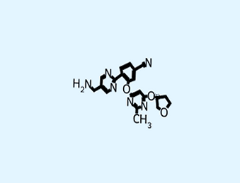 Cc1nc(Oc2cc(C#N)ccc2-c2ncc(CN)cn2)cc(O[C@H]2CCOC2)n1